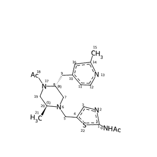 CC(=O)Nc1ncc(CN2C[C@@H](Cc3ccnc(C)c3)N(C(C)=O)C[C@@H]2C)s1